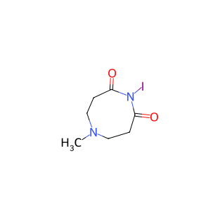 CN1CCC(=O)N(I)C(=O)CC1